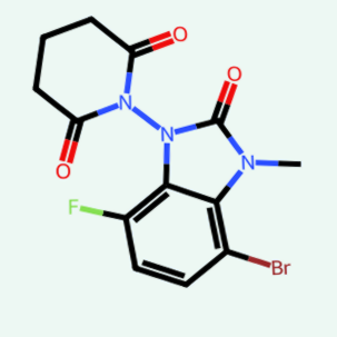 Cn1c(=O)n(N2C(=O)CCCC2=O)c2c(F)ccc(Br)c21